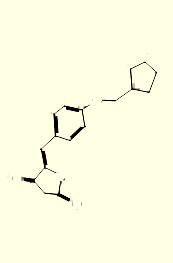 O=C1CC(=O)/C(=C/c2ccc(OCC3CCCC3)cc2)S1